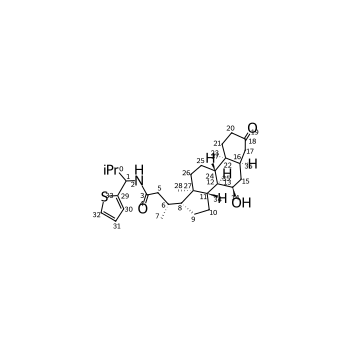 CC(C)C(NC(=O)C[C@@H](C)[C@H]1CC[C@H]2[C@@H]3[C@H](O)C[C@@H]4CC(=O)CC[C@]4(C)[C@H]3CC[C@]12C)c1cccs1